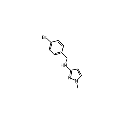 Cn1ccc(NCc2ccc(Br)cc2)n1